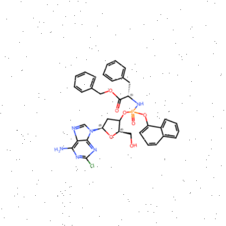 Nc1nc(Cl)nc2c1ncn2[C@H]1CC(OP(=O)(N[C@@H](Cc2ccccc2)C(=O)OCc2ccccc2)Oc2cccc3ccccc23)[C@@H](CO)O1